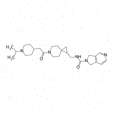 CC(C)N1CCC(CC(=O)N2CCC3(CC2)CC3CNC(=O)N2Cc3ccncc3C2)CC1